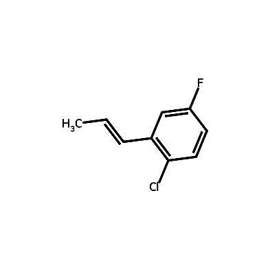 CC=Cc1cc(F)ccc1Cl